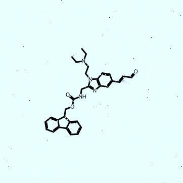 CCN(CC)CCn1c(CNC(=O)OCC2c3ccccc3-c3ccccc32)nc2cc(/C=C/C=O)ccc21